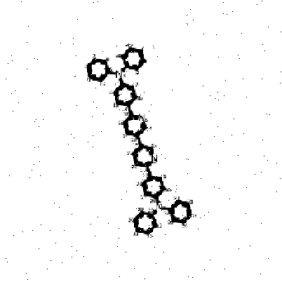 c1ccc(N(c2ccccc2)c2ccc(-c3ccc(-c4ccc(-c5ccc(N(c6ccccc6)c6ccccc6)cc5)nc4)cn3)cc2)cc1